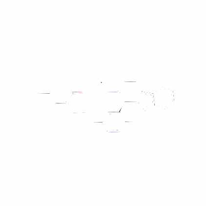 COc1cnc(OCCN(CCCF)C(=O)O)cc1[C@@H]1c2[nH]c3ccccc3c2C[C@@H](C)N1CC(F)(F)F